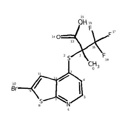 CC(Sc1ccnc2sc(Br)cc12)(C(=O)O)C(F)(F)F